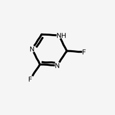 F[C]1N=C(F)N=CN1